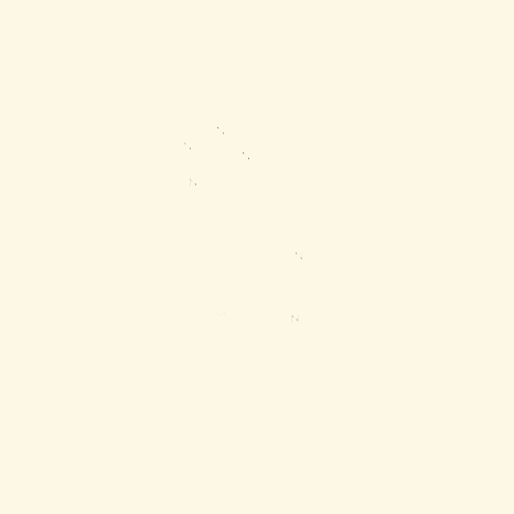 COC(=O)c1cc(-c2nnn[nH]2)cnc1N1CCOCC1